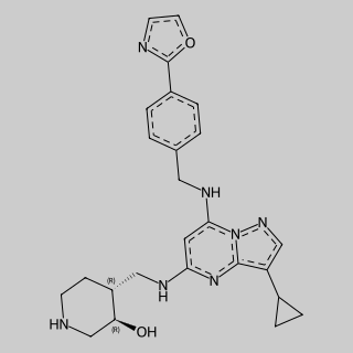 O[C@H]1CNCC[C@@H]1CNc1cc(NCc2ccc(-c3ncco3)cc2)n2ncc(C3CC3)c2n1